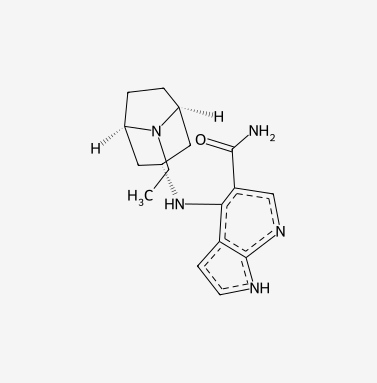 CCN1[C@@H]2CC[C@H]1C[C@H](Nc1c(C(N)=O)cnc3[nH]ccc13)C2